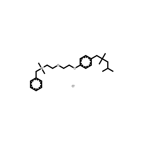 CC(C)CC(C)(C)Cc1ccc(OCCOCC[N+](C)(C)Cc2ccccc2)cc1.[Cl-]